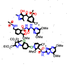 CCOC(=O)C1=NN(c2ccc(Cl)cc2Cl)C(C)(C(=O)OCC)C1.COC(=O)c1ccc(CNS(C)(=O)=O)cc1S(=O)(=O)NC(=O)Nc1nc(OC)cc(OC)n1.COc1cc(OC)n2nc(NS(=O)(=O)c3c(C(F)(F)F)ccnc3OC)nc2n1.Cc1nn(C)c(O)c1C(=O)c1ccc(C(F)(F)F)cc1S(C)(=O)=O